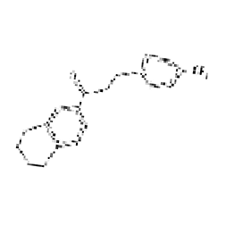 O=C(CCc1ccc(C(F)(F)F)cc1)c1ccc2c(c1)CCCC2